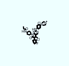 CCC(=O)N[C@H]1CC[C@@H](n2c(=O)c(-c3cccc(F)c3Cl)c(C)c3cnc(Nc4ccc(N5CCN(C)CC5)c(Cl)c4)nc32)CC1